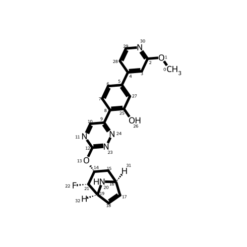 COc1cc(-c2ccc(-c3cnc(O[C@@H]4C[C@H]5C=C[C@H](N5)[C@@H]4F)nn3)c(O)c2)ccn1